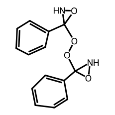 c1ccc(C2(OOC3(c4ccccc4)NO3)NO2)cc1